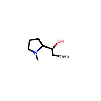 CC(C)COCC(O)C1CCCN1C